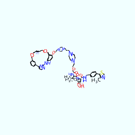 Cc1ncsc1-c1ccc(CNC(=O)[C@@H]2C[C@@H](O)CN2C(=O)[C@@H](NC(=O)COCCN2CCN(CCCN3CCN(CCOc4ccc5cc4COC/C=C/COCc4cccc(c4)-c4ccnc(n4)N5)CC3)CC2)C(C)(C)C)cc1